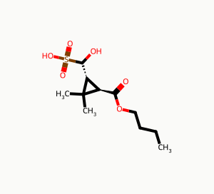 CCCCOC(=O)[C@@H]1[C@@H](C(O)S(=O)(=O)O)C1(C)C